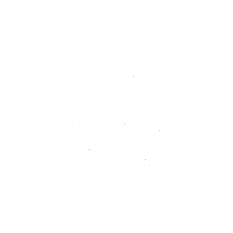 Cn1cc(-c2cnn3c(N)cc(C4CNCCS4(=O)=O)nc23)cn1